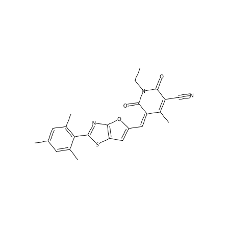 CCN1C(=O)C(C#N)=C(C)/C(=C/c2cc3sc(-c4c(C)cc(C)cc4C)nc3o2)C1=O